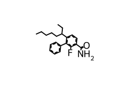 CCCCCC(CC)c1ccc(C(N)=O)c(F)c1-c1ccccc1